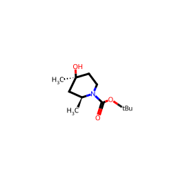 C[C@H]1C[C@@](C)(O)CCN1C(=O)OC(C)(C)C